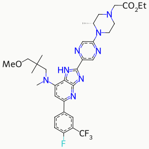 CCOC(=O)CN1CCN(c2cnc(-c3nc4nc(-c5ccc(F)c(C(F)(F)F)c5)cc(N(C)CC(C)(C)COC)c4[nH]3)cn2)[C@H](C)C1